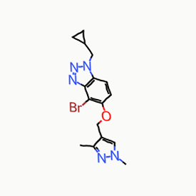 Cc1nn(C)cc1COc1ccc2c(nnn2CC2CC2)c1Br